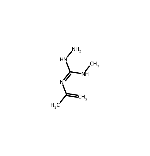 C=C(C)/N=C(\NC)NN